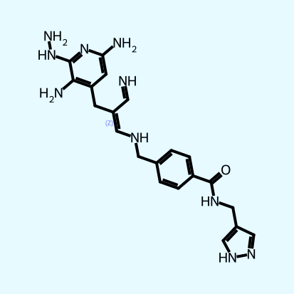 N=C/C(=C\NCc1ccc(C(=O)NCc2cn[nH]c2)cc1)Cc1cc(N)nc(NN)c1N